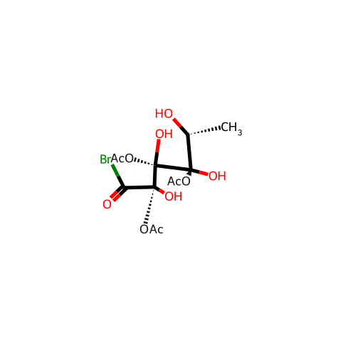 CC(=O)O[C@@](O)([C@](O)(OC(C)=O)C(=O)Br)[C@](O)(OC(C)=O)[C@@H](C)O